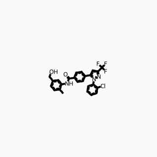 Cc1ccc(CO)cc1NC(=O)c1ccc(-c2cc(C(F)(F)F)nn2-c2ccccc2Cl)cc1